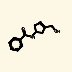 O=C(NC1CC=C(CO)C1)c1ccccc1